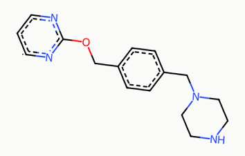 [c]1ccnc(OCc2ccc(CN3CCNCC3)cc2)n1